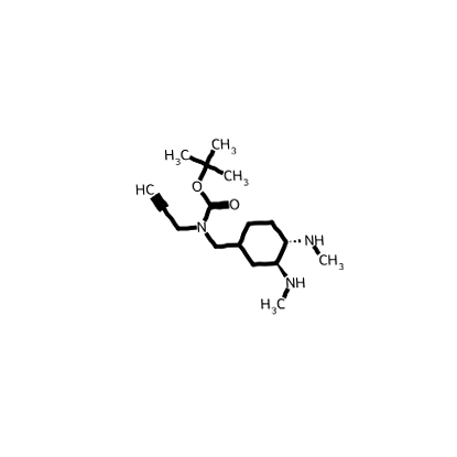 C#CCN(CC1CC[C@H](NC)[C@@H](NC)C1)C(=O)OC(C)(C)C